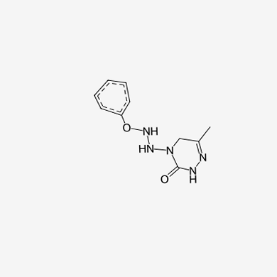 CC1=NNC(=O)N(NNOc2ccccc2)C1